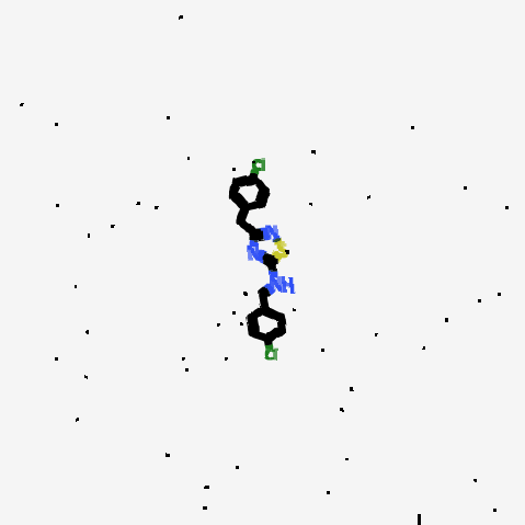 Clc1ccc(CNc2nc(Cc3ccc(Cl)cc3)ns2)cc1